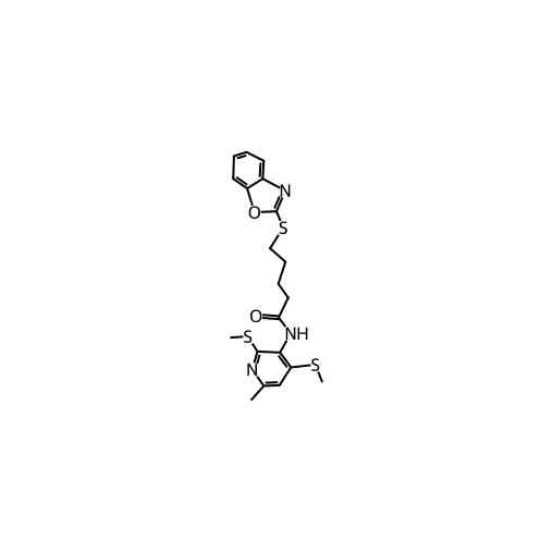 CSc1cc(C)nc(SC)c1NC(=O)CCCCSc1nc2ccccc2o1